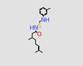 CC(C)=CCCC(C)CC(=O)NSCNc1cccc(C)c1